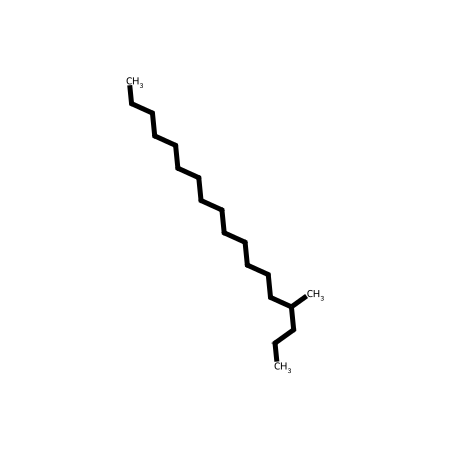 C[CH]CC(C)CCCCCCCCCCCCCC